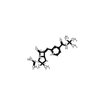 CC(C)(C)NC(=O)c1ccnc(/C=C2/C(=O)N3C2CC(C)(C)[C@@H]3C(=O)O)c1